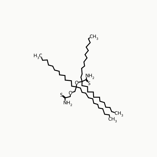 CCCCCCCCCCCCC(CCCCCCCCCCCC)(COCC(N)=S)OC(CCCCCCCCCCCC)(CCCCCCCCCCCC)C(N)=S